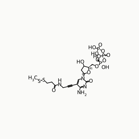 CSSCCC(=O)NCC#Cc1cn([C@H]2CC(O)[C@@H](COP(=O)(O)OP(=O)(O)OP(=O)(O)O)O2)c(=O)nc1N